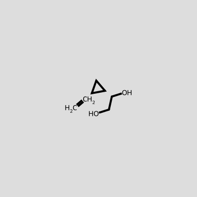 C1CC1.C=C.OCCO